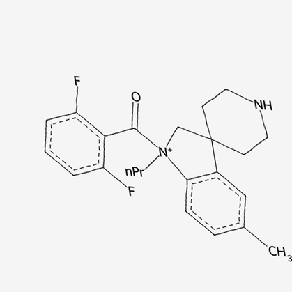 CCC[N+]1(C(=O)c2c(F)cccc2F)CC2(CCNCC2)c2cc(C)ccc21